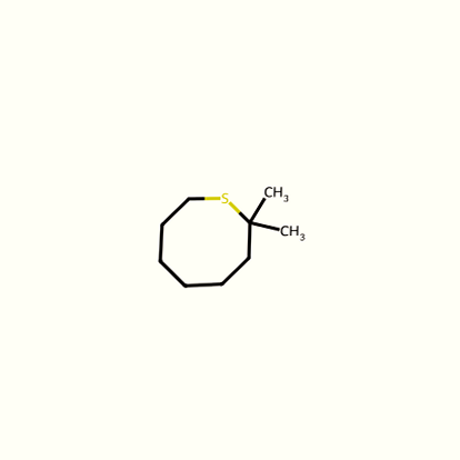 CC1(C)CCCCCCS1